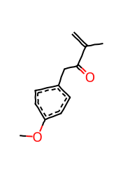 C=C(C)C(=O)Cc1ccc(OC)cc1